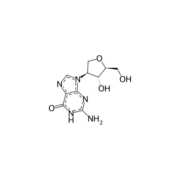 Nc1nc2c(ncn2[C@H]2CO[C@@H](CO)[C@@H]2O)c(=O)[nH]1